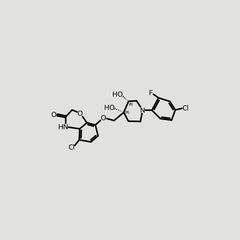 O=C1COc2c(OC[C@]3(O)CCN(c4ccc(Cl)cc4F)C[C@H]3O)ccc(Cl)c2N1